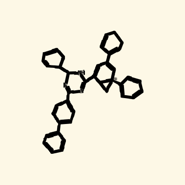 C1=CCC(C2N=C(c3ccc(-c4ccccc4)cc3)N=C(C3=CC(C4=CCCC=C4)=C[C@]4(c5ccccc5)CC34)N2)C=C1